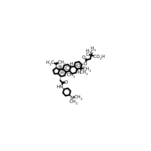 C=C(C)[C@@H]1CCC2[C@@H](CC(=O)N[C@H]3CC[C@H](N(C)C)CC3)C[C@]3(C)[C@H](CC[C@@H]4[C@@]5(C)CC[C@H](OC(=O)CC(C)(C)C(=O)O)C(C)(C)[C@@H]5CC[C@]43C)[C@H]21